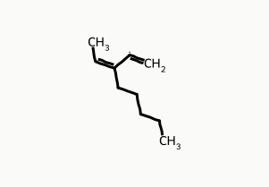 C=[C]/C(=C\C)CCCCC